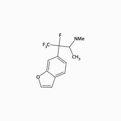 CNC(C)C(F)(c1ccc2ccoc2c1)C(F)(F)F